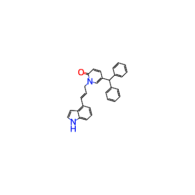 O=c1ccc(C(c2ccccc2)c2ccccc2)cn1CC=Cc1cccc2[nH]ccc12